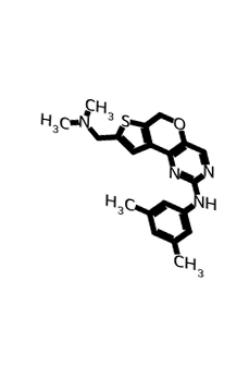 Cc1cc(C)cc(Nc2ncc3c(n2)-c2cc(CN(C)C)sc2CO3)c1